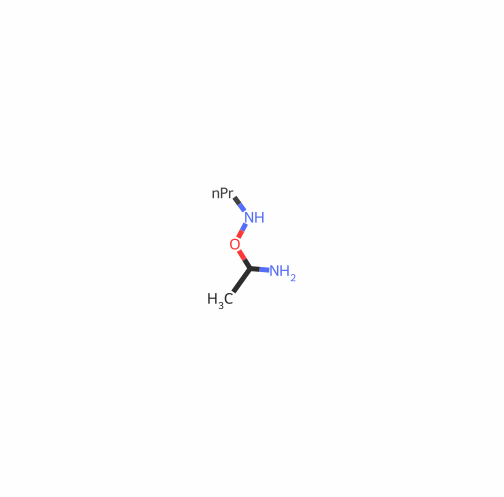 CCCNOC(C)N